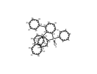 O=P(c1ccccc1)(c1ccccc1)c1cccc(-c2ccccc2)c1-c1ccc2ccccc2c1